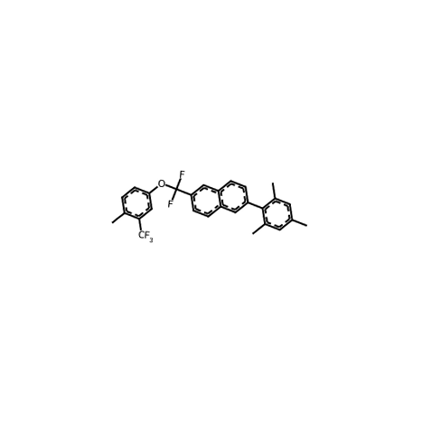 Cc1cc(C)c(-c2ccc3cc(C(F)(F)Oc4ccc(C)c(C(F)(F)F)c4)ccc3c2)c(C)c1